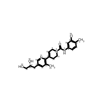 Cc1ccc(NC(=O)N2CC=C(c3ncc(C[C@@H](O)CO)cc3C)CC2)cc1Cl